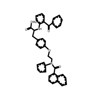 COC(=O)C(Cc1ccc(OCCN(C(=O)c2cccc3ccccc23)c2ccccc2)cc1)Nc1ccccc1C(=O)c1ccccc1